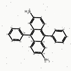 Bc1ccc2c(-c3ccccc3)c3cc(B)ccc3c(-c3ccccc3)c2c1